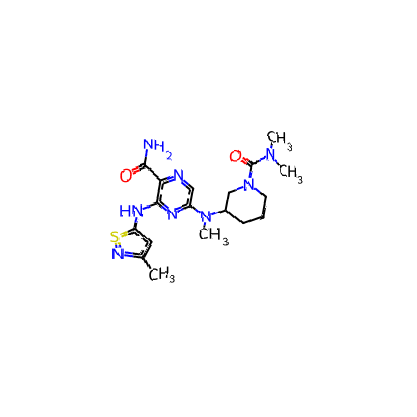 Cc1cc(Nc2nc(N(C)C3CCCN(C(=O)N(C)C)C3)cnc2C(N)=O)sn1